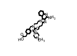 CCCCc1nc2c(N)nc3ccccc3c2n1CCCN(Cc1ccc(CC(=O)O)cc1)C(=O)CN1CCN(C)CC1